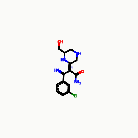 N=C(/C(C(N)=O)=C1/CNCC(CO)N1)c1cccc(Cl)c1